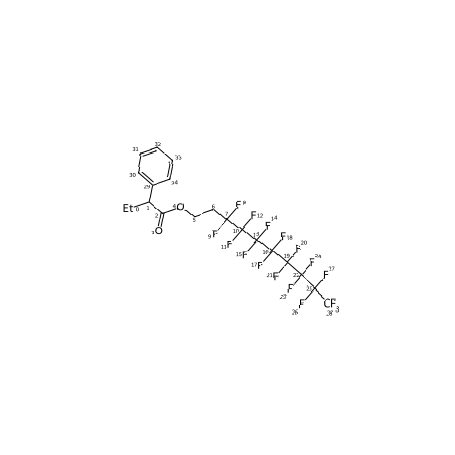 CCC(C(=O)OCCC(F)(F)C(F)(F)C(F)(F)C(F)(F)C(F)(F)C(F)(F)C(F)(F)C(F)(F)F)c1ccccc1